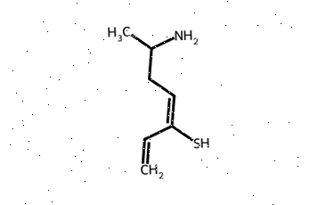 C=C/C(S)=C\CC(C)N